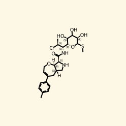 CSC1O[C@H]([C@H](NC(=O)[C@H]2NC[C@@H]3CC(c4ccc(C)cc4)=CCO[C@H]32)[C@H](C)Cl)[C@@H](O)C(O)[C@H]1O